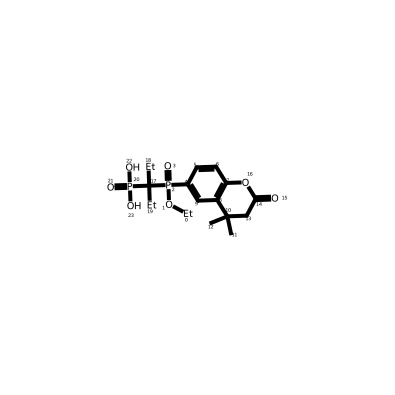 CCOP(=O)(c1ccc2c(c1)C(C)(C)CC(=O)O2)C(CC)(CC)P(=O)(O)O